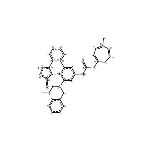 CCCN(Cc1ccccc1)c1cc(NC(=O)CC2=CC=C(C)C=CC2)cc(-c2ccccc2-c2nc(=O)o[nH]2)n1